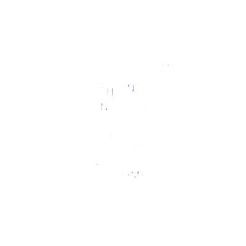 COC(=O)c1cccc(C(=O)N(C)Cc2nc(CO)cs2)c1